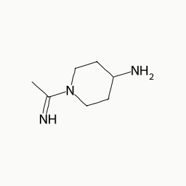 CC(=N)N1CCC(N)CC1